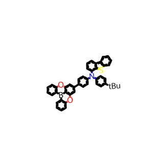 CC(C)(C)c1ccc(N(c2ccc(-c3cc4c5c(c3)Oc3ccccc3B5c3ccccc3O4)cc2)c2cccc3c2sc2ccccc23)cc1